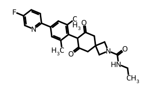 CCNC(=O)N1CC2(CC(=O)C(c3c(C)cc(-c4ccc(F)cn4)cc3C)C(=O)C2)C1